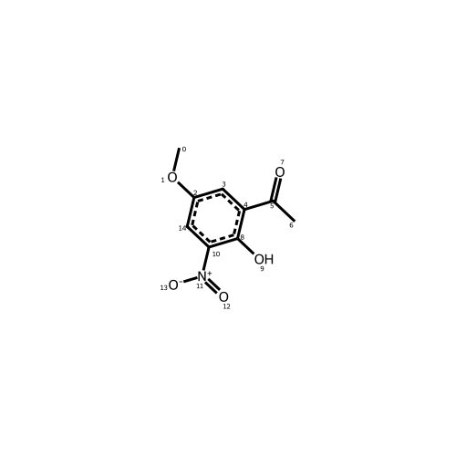 COc1cc(C(C)=O)c(O)c([N+](=O)[O-])c1